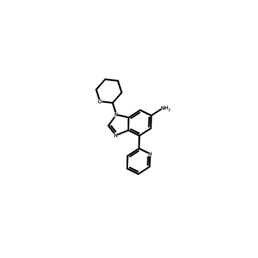 Nc1cc(-c2ccccn2)c2ncn(C3CCCCO3)c2c1